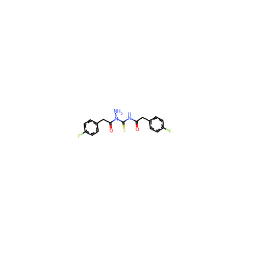 NN(C(=O)Cc1ccc(F)cc1)C(=S)NC(=O)Cc1ccc(F)cc1